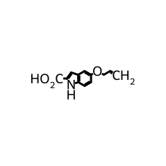 C=CCOc1ccc2[nH]c(C(=O)O)cc2c1